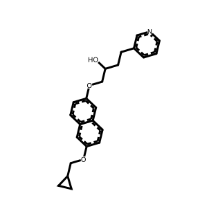 OC(CCc1cccnc1)COc1ccc2cc(OCC3CC3)ccc2c1